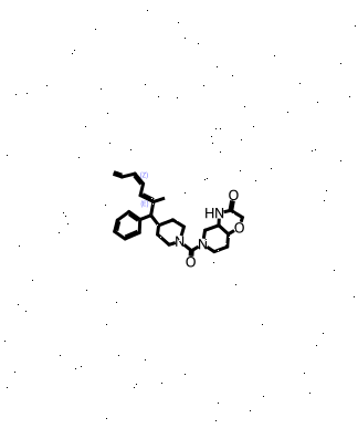 C=C/C=C\C=C(/C)C(c1ccccc1)C1CCN(C(=O)N2CCC3OCC(=O)NC3C2)CC1